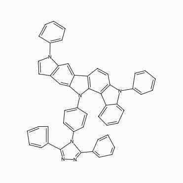 c1ccc(-c2nnc(-c3ccccc3)n2-c2ccc(-n3c4cc5ccn(-c6ccccc6)c5cc4c4ccc5c(c6ccccc6n5-c5ccccc5)c43)cc2)cc1